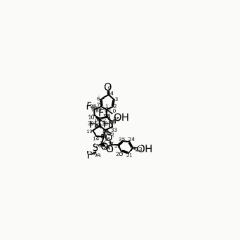 C[C@]12C=CC(=O)C=C1[C@@H](F)C[C@H]1[C@@H]3CC[C@](OC(=O)c4ccc(O)cc4)(C(=O)SCF)[C@@]3(C)C[C@H](O)[C@@]12F